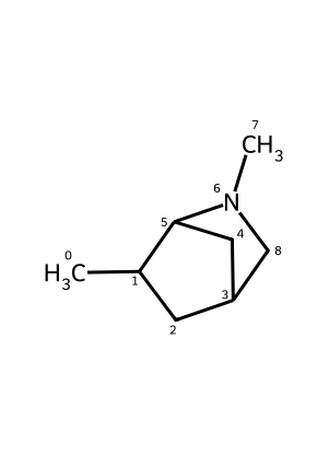 CC1CC2CC1N(C)C2